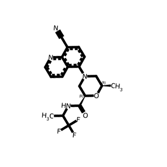 CC(NC(=O)[C@H]1CN(c2ccc(C#N)c3ncccc23)C[C@@H](C)O1)C(F)(F)F